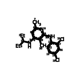 CCC(CC)Nc1cc(C)nc(Nc2ccc(Cl)cc2Cl)c1C